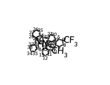 C[Si](C)(c1ccc(C(F)(F)F)cc1)c1ccccc1-n1c2ccccc2c2c3ccccc3n(-c3ccccc3)c21